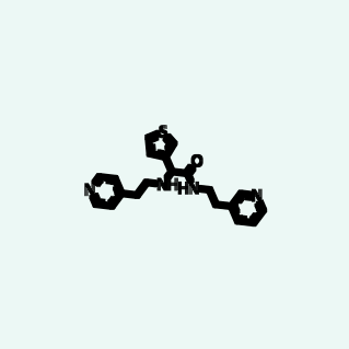 O=C(NCCc1cccnc1)C(NCCc1ccncc1)c1ccsc1